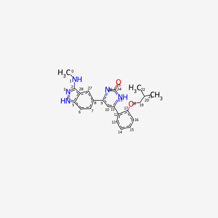 CNc1n[nH]c2ccc(-c3cc(-c4ccccc4OCC(C)C)[nH]c(=O)n3)cc12